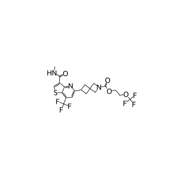 CNC(=O)c1csc2c(C(F)(F)F)cc(C3CC4(C3)CN(C(=O)OCCOC(F)(F)F)C4)nc12